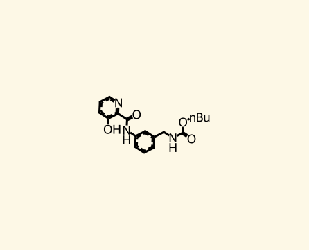 CCCCOC(=O)NCc1cccc(NC(=O)c2ncccc2O)c1